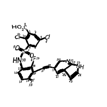 O=C(O)c1cc(Cl)cc(S(=O)(=O)Nc2ccc(F)c(C#Cc3cnc4[nH]ccc4c3)c2F)c1Cl